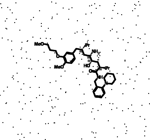 COCCCOc1cc(C[C@@H](C[C@H](N)[C@@H](O)C[C@H](C(=O)NCc2ccccc2N2CCCCC2)C(C)C)C(C)C)ccc1OC